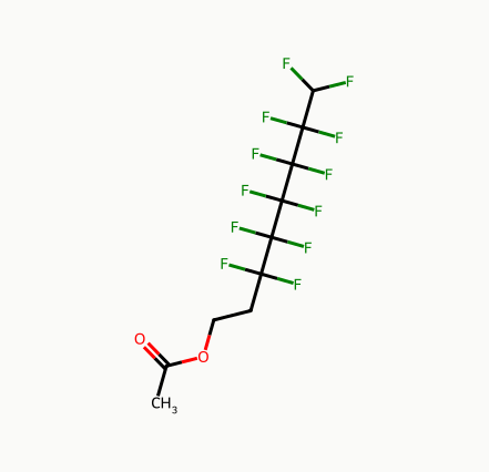 CC(=O)OCCC(F)(F)C(F)(F)C(F)(F)C(F)(F)C(F)(F)C(F)F